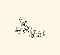 Cn1nc(C(F)F)cc1Nc1nncn1[C@H]1CCc2sc(NC(=O)[C@H]3CC34CC4)c(C(=O)N[C@H]3CC34CC4)c2C1